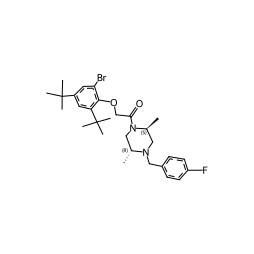 C[C@@H]1CN(C(=O)COc2c(Br)cc(C(C)(C)C)cc2C(C)(C)C)[C@@H](C)CN1Cc1ccc(F)cc1